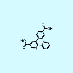 O=C(O)c1ccc(-c2cc(C(=O)O)cnc2-c2ccccn2)cc1